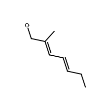 CC/C=C/C=C(\C)C[O]